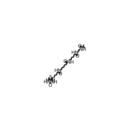 CC(C)C(=O)NCCNC(=O)CCCCCNC(=O)CCCCCNC(=O)CCCC[C@@H]1SC[C@@H]2NC(=O)N[C@@H]21